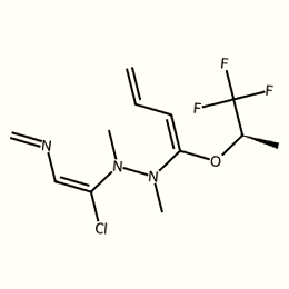 C=C/C=C(/O[C@H](C)C(F)(F)F)N(C)N(C)/C(Cl)=C\N=C